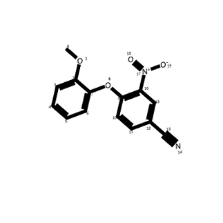 COc1ccccc1Oc1ccc(C#N)cc1[N+](=O)[O-]